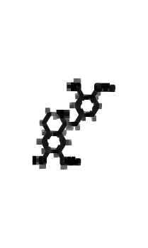 COc1ccc(C[C@@H]2NCCc3cc(O)c(OC)cc32)cc1O